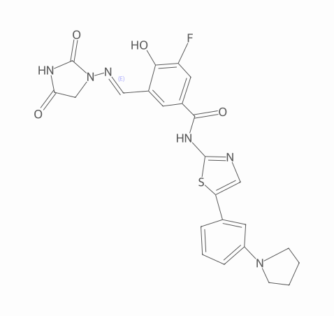 O=C1CN(/N=C/c2cc(C(=O)Nc3ncc(-c4cccc(N5CCCC5)c4)s3)cc(F)c2O)C(=O)N1